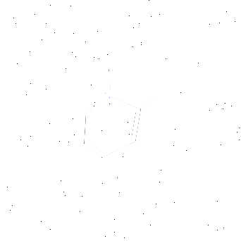 CC1=C[C]=CCN1